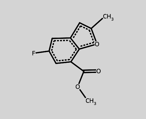 COC(=O)c1cc(F)cc2cc(C)oc12